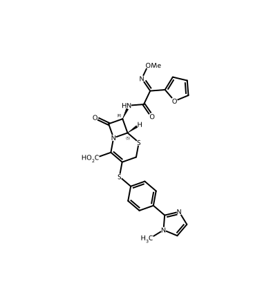 CON=C(C(=O)N[C@@H]1C(=O)N2C(C(=O)O)=C(Sc3ccc(-c4nccn4C)cc3)CS[C@@H]12)c1ccco1